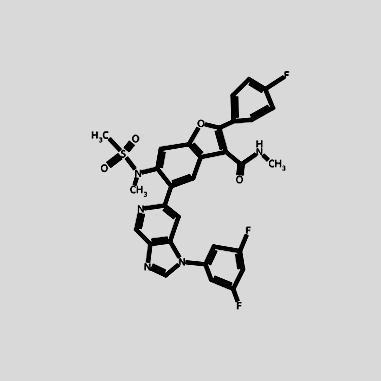 CNC(=O)c1c(-c2ccc(F)cc2)oc2cc(N(C)S(C)(=O)=O)c(-c3cc4c(cn3)ncn4-c3cc(F)cc(F)c3)cc12